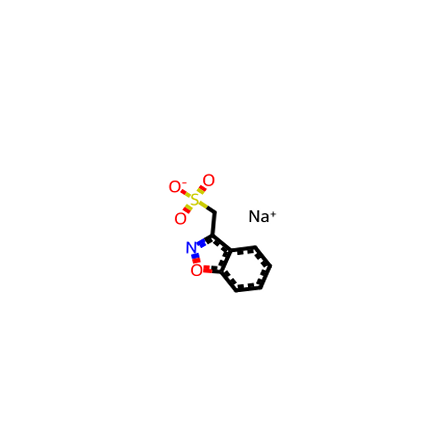 O=S(=O)([O-])Cc1noc2ccccc12.[Na+]